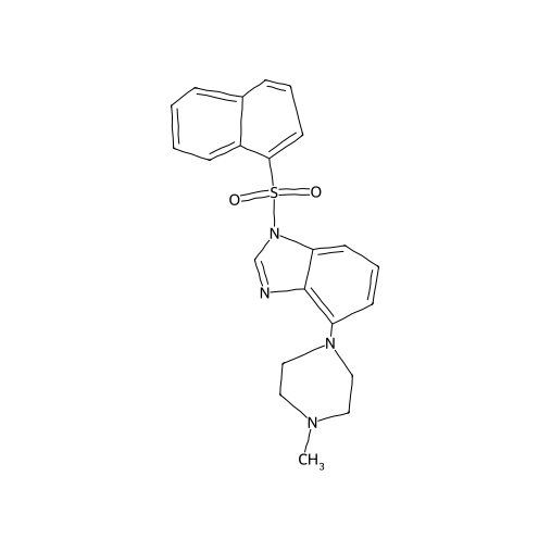 CN1CCN(c2cccc3c2ncn3S(=O)(=O)c2cccc3ccccc23)CC1